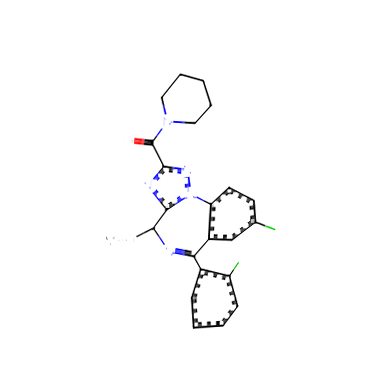 COC1N=C(c2ccccc2Cl)c2cc(Cl)ccc2-n2nc(C(=O)N3CCCCC3)nc21